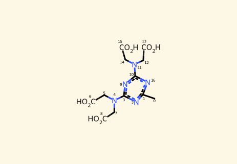 Cc1nc(N(CC(=O)O)CC(=O)O)nc(N(CC(=O)O)CC(=O)O)n1